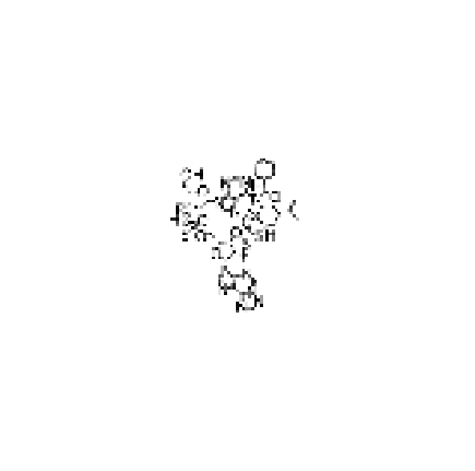 C=C(C)[C@H]1CC[C@@]2(C)OP(=S)(O[C@H]3[C@@H](F)[C@H](n4cnc5c4ncn4ncnc54)O[C@@H]3COP(O)(=S)O[C@@H]3[C@H](F)[C@@H](CO)O[C@H]3n3cnc4c(NC(=O)c5ccccc5)ncnc43)S[C@@H]2C1